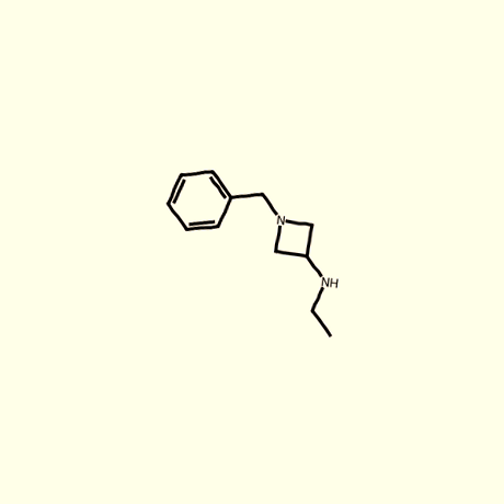 CCNC1CN(Cc2ccccc2)C1